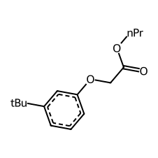 CCCOC(=O)COc1cccc(C(C)(C)C)c1